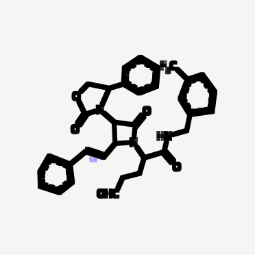 O=CCCC(C(=O)NCc1cccc(C(F)(F)F)c1)N1C(=O)C(N2C(=O)OCC2c2ccccc2)C1/C=C/c1ccccc1